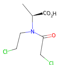 C[C@@H](C(=O)O)N(CCCl)C(=O)CCl